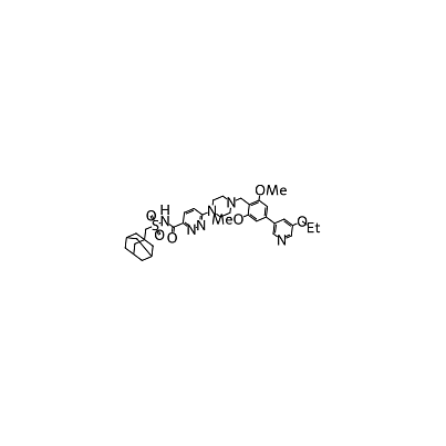 CCOc1cncc(-c2cc(OC)c(CN3CCN(c4ccc(C(=O)NS(=O)(=O)CC56CC7CC(CC(C7)C5)C6)nn4)CC3)c(OC)c2)c1